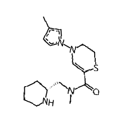 Cc1ccn(N2C=C(C(=O)N(C)C[C@H]3CCCCN3)SCC2)c1